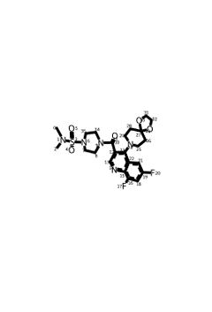 CN(C)S(=O)(=O)N1CCN(C(=O)c2cnc3c(F)cc(F)cc3c2N2CCC3(CC2)OCCO3)CC1